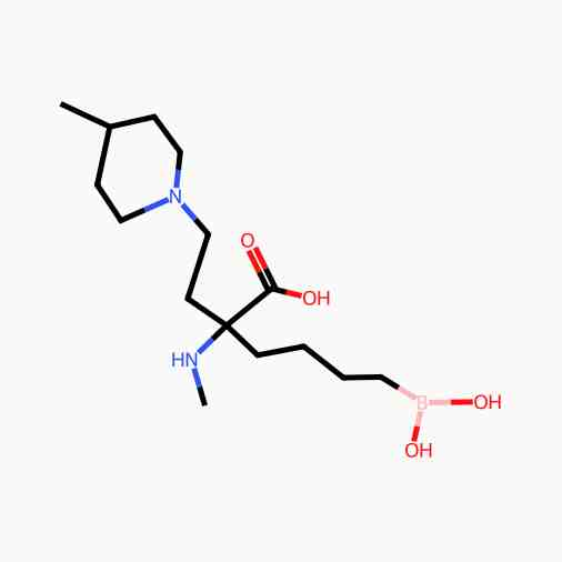 CNC(CCCCB(O)O)(CCN1CCC(C)CC1)C(=O)O